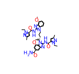 CCn1nc(C)cc1C(=O)Nc1nc2c(OC)cccc2n1CCC[C@H]1COc2cc(C(N)=O)cc3nc(NC(=O)c4cc(C)nn4CC)n1c23